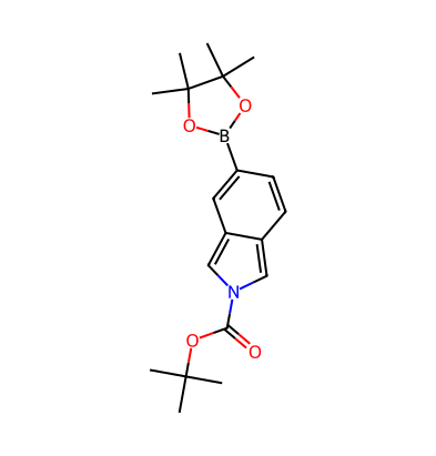 CC(C)(C)OC(=O)n1cc2ccc(B3OC(C)(C)C(C)(C)O3)cc2c1